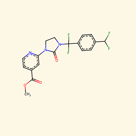 COC(=O)c1ccnc(N2CCN(C(F)(F)c3ccc(C(F)F)cc3)C2=O)c1